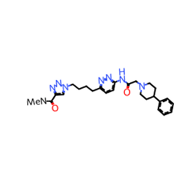 CNC(=O)c1cn(CCCCc2ccc(NC(=O)CN3CCC(c4ccccc4)CC3)nn2)nn1